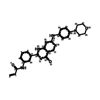 C=CC(=O)Nc1cccc(-c2nc(=O)c3cnc(Nc4ccc(N5CCOCC5)cc4)nc3[nH]2)c1